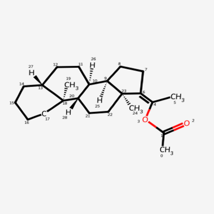 CC(=O)OC(C)=C1CC[C@@H]2[C@@H]3CC[C@H]4CCCC[C@]4(C)[C@H]3CC[C@]12C